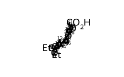 CCOCC1(COCC)Cc2c(cc(C)c(-c3cccc(COc4ccc5c(c4)OCC5CC(=O)O)c3)c2C)O1